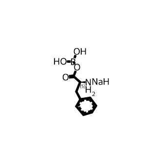 N[C@@H](Cc1ccccc1)C(=O)OB(O)O.[NaH]